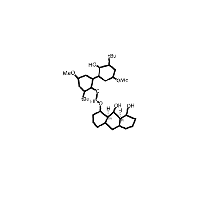 COC1CC(C2CC(OC)CC(C(C)(C)C)C2OPOC2CCCC3CC4CCCC(O)[C@@H]4C(O)[C@@H]32)C(O)C(C(C)(C)C)C1